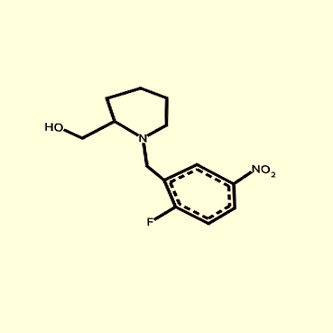 O=[N+]([O-])c1ccc(F)c(CN2CCCCC2CO)c1